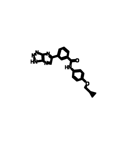 O=C(Nc1ccc(OCC2CC2)cc1)c1cccc(-c2cnc3[nH]nnc3n2)c1